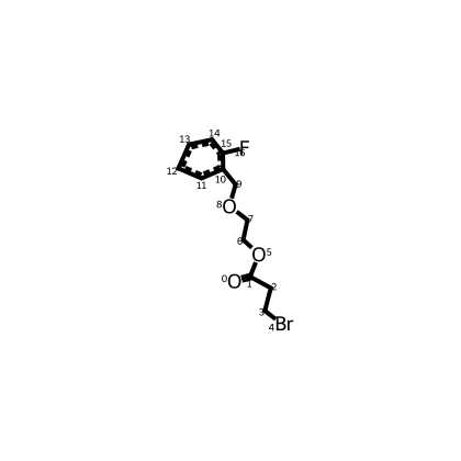 O=C(CCBr)OCCOCc1ccccc1F